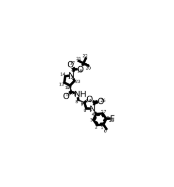 Cc1ccc(N2C[C@@H](CNC(=O)[C@H]3CCN(C(=O)OC(C)(C)C)C3)OC2=O)cc1F